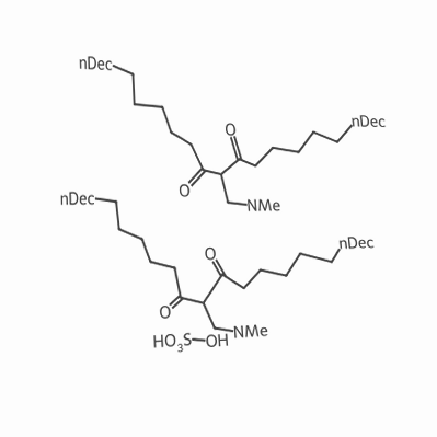 CCCCCCCCCCCCCCCC(=O)C(CNC)C(=O)CCCCCCCCCCCCCCC.CCCCCCCCCCCCCCCC(=O)C(CNC)C(=O)CCCCCCCCCCCCCCC.O=S(=O)(O)O